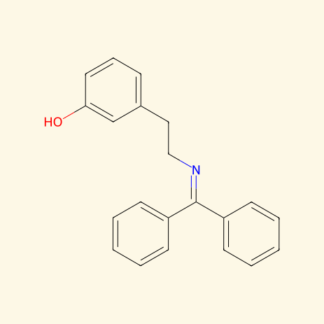 Oc1cccc(CCN=C(c2ccccc2)c2ccccc2)c1